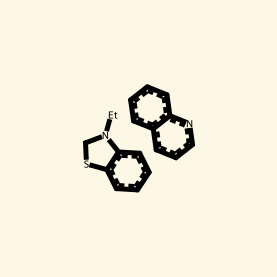 CCN1CSc2ccccc21.c1ccc2ncccc2c1